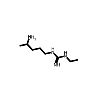 CCNC(=N)NCCCC(C)N